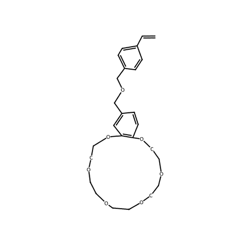 C=Cc1ccc(COCc2ccc3c(c2)OCCOCCOCCOCCOCCO3)cc1